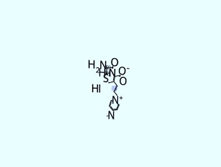 CN(C)c1cc[n+](C/C=C/C2=C(C(=O)[O-])N3C(=O)[C@@H](N)[C@H]3SC2)cc1.I